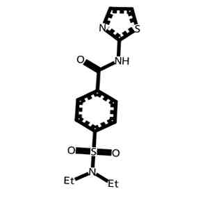 CCN(CC)S(=O)(=O)c1ccc(C(=O)Nc2nccs2)cc1